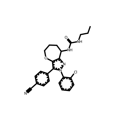 CCCNC(=O)NC1CCCOc2c1nn(-c1ccccc1Cl)c2-c1ccc(C#N)cc1